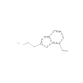 O=COCCc1cc2c(CO)cccc2[nH]1